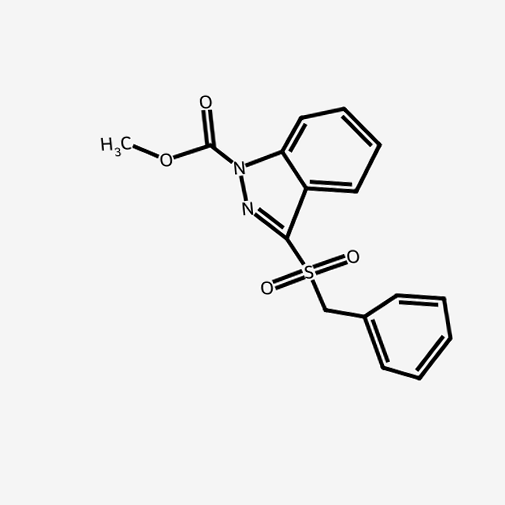 COC(=O)n1nc(S(=O)(=O)Cc2ccccc2)c2ccccc21